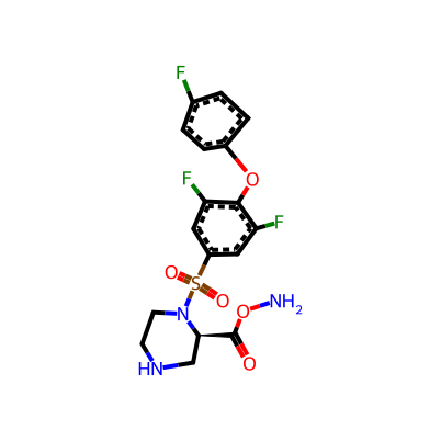 NOC(=O)[C@H]1CNCCN1S(=O)(=O)c1cc(F)c(Oc2ccc(F)cc2)c(F)c1